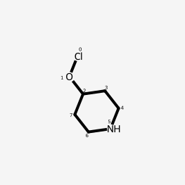 ClOC1CCNCC1